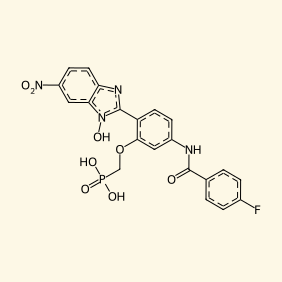 O=C(Nc1ccc(-c2nc3ccc([N+](=O)[O-])cc3n2O)c(OCP(=O)(O)O)c1)c1ccc(F)cc1